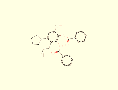 CCCc1c(C2CCCC2)cc(C)c(OC(=O)c2ccccc2)c1OC(=O)c1ccccc1